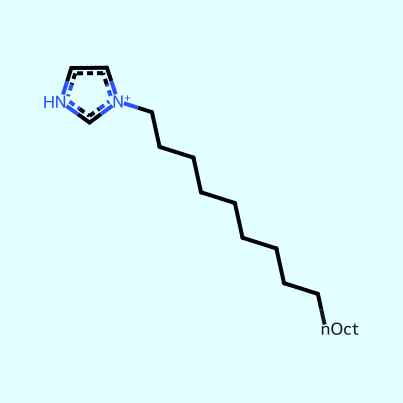 CCCCCCCCCCCCCCCCC[n+]1cc[nH]c1